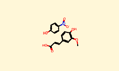 COc1cc(C=CC(=O)O)ccc1O.O=[N+]([O-])c1ccc(O)cc1